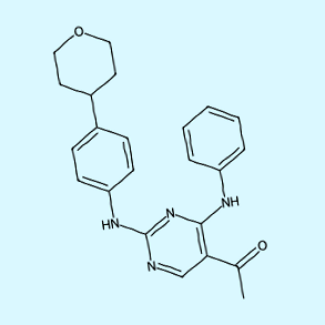 CC(=O)c1cnc(Nc2ccc(C3CCOCC3)cc2)nc1Nc1ccccc1